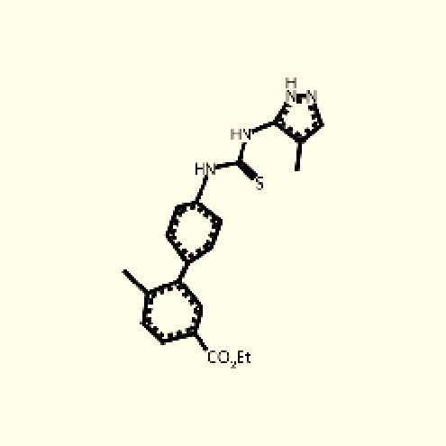 CCOC(=O)c1ccc(C)c(-c2ccc(NC(=S)Nc3[nH]ncc3C)cc2)c1